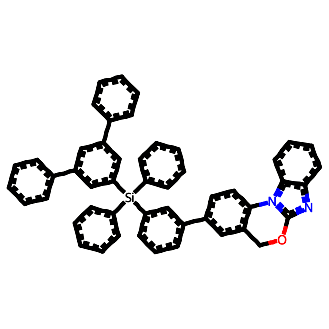 c1ccc(-c2cc(-c3ccccc3)cc([Si](c3ccccc3)(c3ccccc3)c3cccc(-c4ccc5c(c4)COc4nc6ccccc6n4-5)c3)c2)cc1